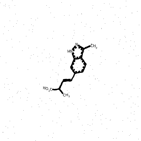 Cc1n[nH]c2cc(C=CC(C)C(=O)O)ccc12